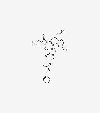 CCC[C@@H](NC(=O)N1C(=O)C(CC)(CC)[C@@H]1OCC(=O)N(CC)CCNC(=O)OCc1ccccc1)c1ccc(C)cc1